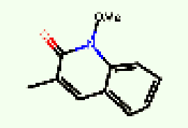 COn1c(=O)c(C)cc2ccccc21